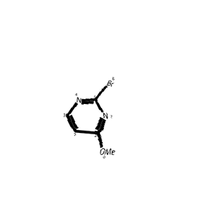 COc1ccnc(Br)n1